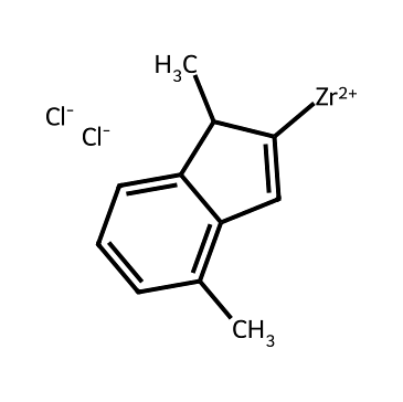 Cc1cccc2c1C=[C]([Zr+2])C2C.[Cl-].[Cl-]